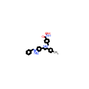 Cc1ccc(-c2cc(-c3ccc4c(c3)nnn4Cc3ccccc3)nn2Cc2ccc(C(=O)NO)cc2)cc1